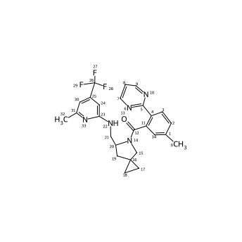 Cc1ccc(-c2ncccn2)c(C(=O)N2CC3(CC3)CC2CNc2cc(C(F)(F)F)cc(C)n2)c1